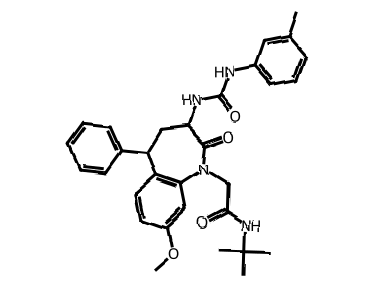 COc1ccc2c(c1)N(CC(=O)NC(C)(C)C)C(=O)C(NC(=O)Nc1cccc(C)c1)CC2c1ccccc1